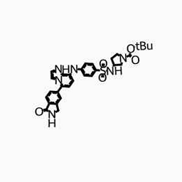 CC(C)(C)OC(=O)N1CCC(NS(=O)(=O)c2ccc(Nc3ccc(-c4ccc5c(c4)CNC5=O)n4ccnc34)cc2)C1